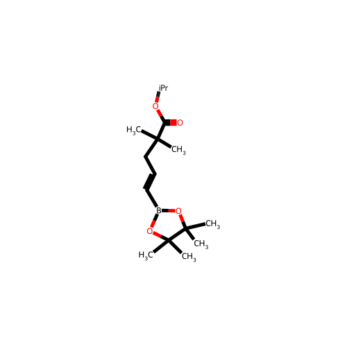 CC(C)OC(=O)C(C)(C)CC=CB1OC(C)(C)C(C)(C)O1